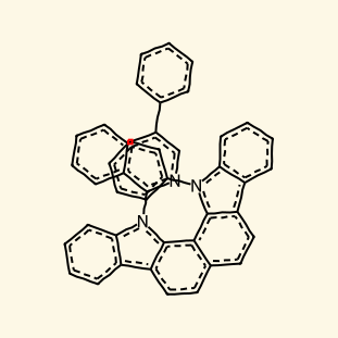 c1ccc(-c2cnc(-n3c4ccccc4c4ccc5ccc6c7ccccc7n(-c7ccccc7)c6c5c43)c3ccccc23)cc1